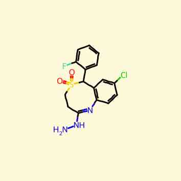 NN/C1=N/c2ccc(Cl)cc2C(c2ccccc2F)S(=O)(=O)CC1